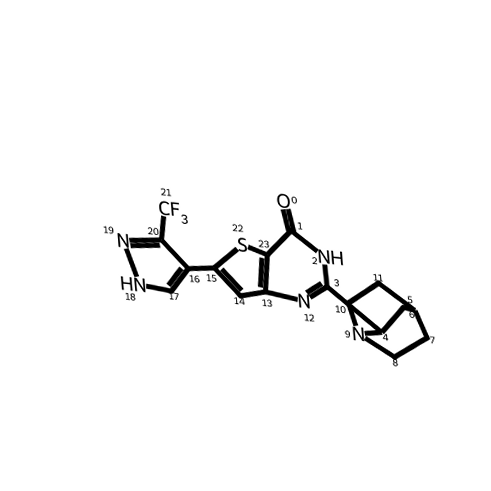 O=c1[nH]c(C2CC3CCN2CC3)nc2cc(-c3c[nH]nc3C(F)(F)F)sc12